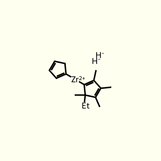 CCC1(C)C(C)=C(C)C(C)=[C]1[Zr+2][C]1=CC=CC1.[H-].[H-]